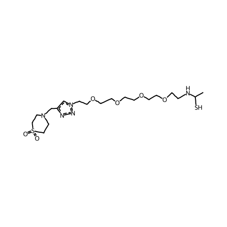 CC(S)NCCOCCOCCOCCOCCn1cc(CN2CCS(=O)(=O)CC2)nn1